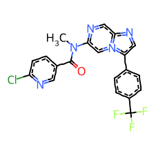 CN(C(=O)c1ccc(Cl)nc1)c1cn2c(-c3ccc(C(F)(F)F)cc3)cnc2cn1